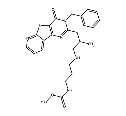 CC(CNCCCNC(=O)OC(C)(C)C)Cc1nc2c(sc3ncccc32)c(=O)n1Cc1ccccc1